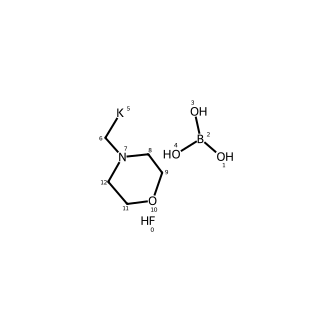 F.OB(O)O.[K][CH2]N1CCOCC1